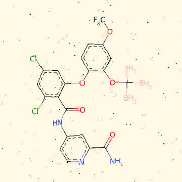 BC(B)(B)Oc1cc(OC(F)(F)F)ccc1Oc1cc(Cl)cc(Cl)c1C(=O)Nc1ccnc(C(N)=O)c1